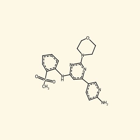 CS(=O)(=O)c1ccccc1Nc1cc(-c2ccc(N)nc2)nc(N2CCOCC2)n1